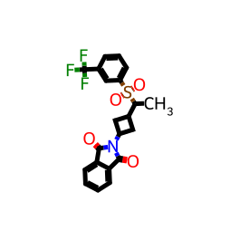 CC(C1CC(N2C(=O)c3ccccc3C2=O)C1)S(=O)(=O)c1cccc(C(F)(F)F)c1